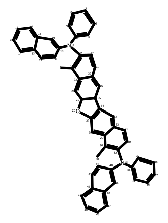 Cc1c(N(c2ccccc2)c2ccc3ccccc3c2)ccc2c1=CC1Oc3cc4c(C)c(N(c5ccccc5)c5ccc6ccccc6c5)ccc4cc3C1C=2